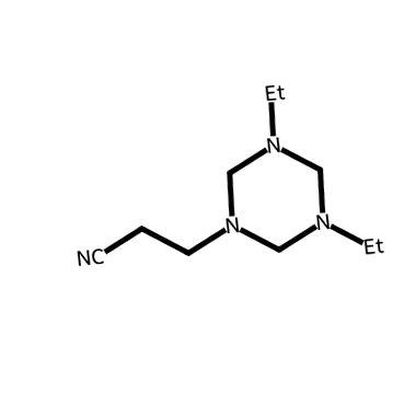 CCN1CN(CC)CN(CCC#N)C1